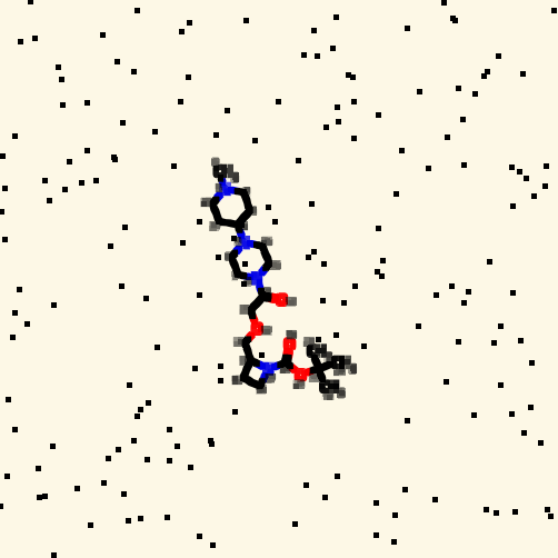 CN1CCC(N2CCN(C(=O)COCC3CCN3C(=O)OC(C)(C)C)CC2)CC1